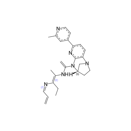 C=C/C=N\C(CC)=C(/C)NC(=C)N1c2nc(-c3ccnc(C)c3)ccc2N2CC[C@H]1C2